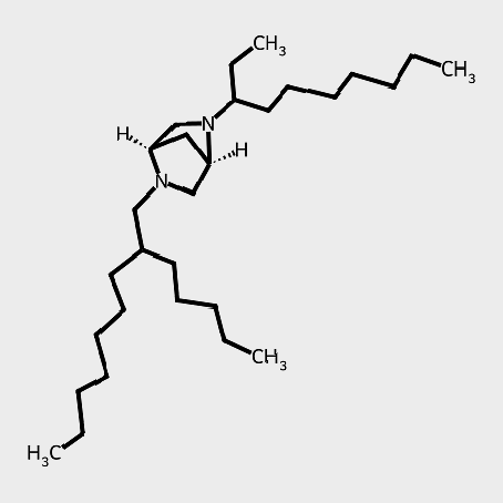 CCCCCCCC(CCCCC)CN1C[C@H]2C[C@@H]1CN2C(CC)CCCCCCC